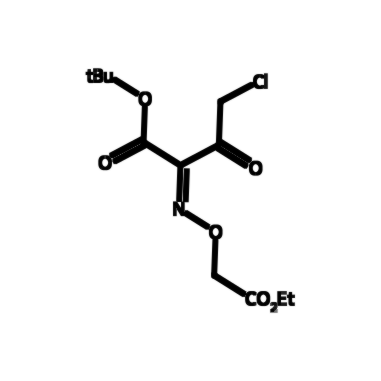 CCOC(=O)CO/N=C(\C(=O)CCl)C(=O)OC(C)(C)C